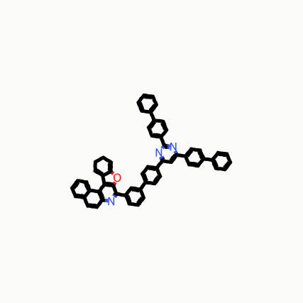 C1=c2oc3c(-c4cccc(-c5ccc(-c6cc(-c7ccc(-c8ccccc8)cc7)nc(-c7ccc(-c8ccccc8)cc7)n6)cc5)c4)nc4ccc5ccccc5c4c3c2=CCC1